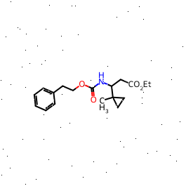 CCOC(=O)CC(NC(=O)OCCc1ccccc1)C1(C)CC1